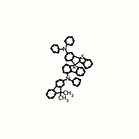 CC1(C)c2ccccc2-c2ccc(N(c3ccccc3)c3cccc4c3-c3ccccc3[C@]43c4ccc(N(c5ccccc5)c5ccccc5)cc4-c4sc5ccccc5c43)cc21